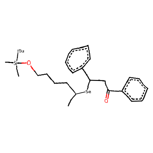 CC(CCCCO[Si](C)(C)C(C)(C)C)[Se]C(CC(=O)c1ccccc1)c1ccccc1